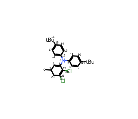 CC1C=C(N(c2ccc(C(C)(C)C)cc2)c2ccc(C(C)(C)C)cc2)C(Cl)=C(Cl)C1